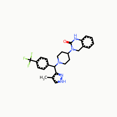 Cc1c[nH]nc1C(c1ccc(C(F)(F)F)cc1)N1CCC(N2Cc3ccccc3NC2=O)CC1